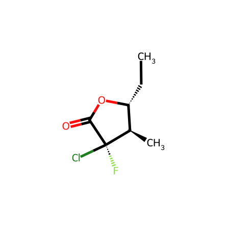 CC[C@H]1OC(=O)[C@](F)(Cl)[C@@H]1C